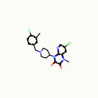 Cc1cc(CN2CCC(n3c(=O)c(=O)n(C)c4cc(Cl)cnc43)CC2)ccc1F